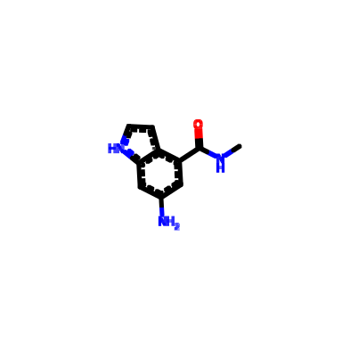 CNC(=O)c1cc(N)cc2[nH]ccc12